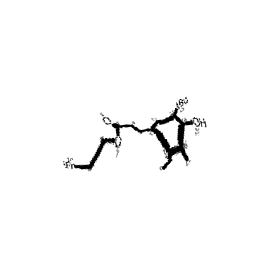 Cc1c(CCC(=O)OCCC(C)C)cc(C(C)(C)C)c(O)c1C